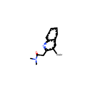 CNc1cc2ccccc2nc1CC(=O)N(C)C